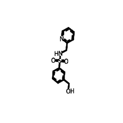 O=S(=O)(NCc1ccccn1)c1cccc(CO)c1